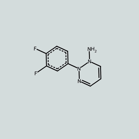 NN1C=CC=NN1c1ccc(F)c(F)c1